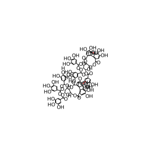 O=C(O[C@@H]1O[C@@H]2COC(=O)c3cc(O)c(O)c(O)c3-c3c(cc(Oc4c(C(=O)O[C@H]5[C@H](OC(=O)c6cc(O)c(O)c(O)c6)O[C@@H]6COC(=O)c7cc(O)c(O)c(O)c7-c7c(cc(O)c(O)c7O)C(=O)O[C@H]6[C@@H]5OC(=O)c5cc(O)c(O)c(O)c5)cc(O)c(O)c4O)c(O)c3O)C(=O)O[C@H]2[C@H](OC(=O)c2cc(O)c(O)c(O)c2)[C@H]1OC(=O)c1cc(O)c(O)c(O)c1)c1cc(O)c(O)c(O)c1